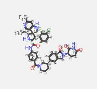 CC(C)(C)C[C@@H]1N[C@@H](C(=O)NC23CCC(C(=O)N4CCC[C@H](c5ccc6c(c5)CN(C5CCC(=O)NC5=O)C6=O)C4)(CC2)CC3)[C@H](c2cccc(Cl)c2F)[C@]12CNc1cc(C(F)(F)F)ncc12